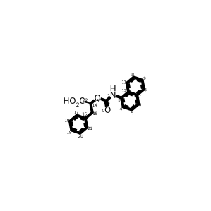 O=C(Nc1cccc2ccccc12)O[C@@H](Cc1ccccc1)C(=O)O